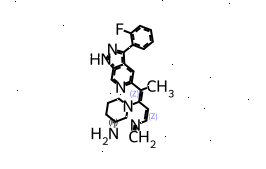 C=N/C=C\C(=C(/C)c1cc2c(-c3ccccc3F)n[nH]c2cn1)N1CCC[C@@H](N)C1